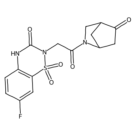 O=C1CC2CC1CN2C(=O)CN1C(=O)Nc2ccc(F)cc2S1(=O)=O